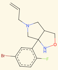 C=CCN1CC2CONC2(c2cc(Br)ccc2F)C1